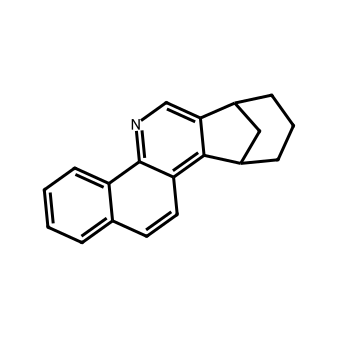 c1ccc2c(c1)ccc1c3c(cnc12)C1CCCC3C1